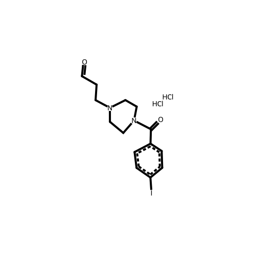 Cl.Cl.O=CCCN1CCN(C(=O)c2ccc(I)cc2)CC1